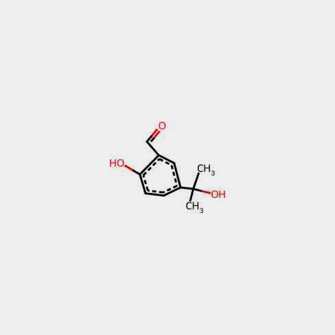 CC(C)(O)c1ccc(O)c(C=O)c1